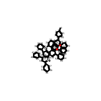 Cc1ccc(-c2ccc3c(c2)c2ccccc2n3-c2c(-c3ccccc3-n3c4ccccc4c4ccccc43)cc(-c3nc(-c4ccccc4)cc(-c4ccccc4)n3)cc2-c2ccccc2-n2c3ccccc3c3ccccc32)cc1